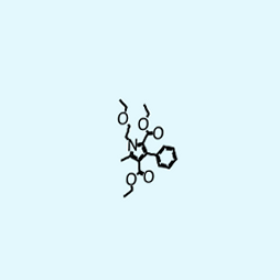 CCOCCn1c(C)c(C(=O)OCC)c(-c2ccccc2)c1C(=O)OCC